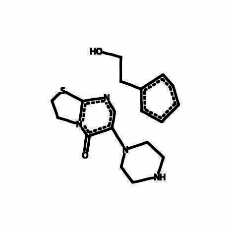 O=c1c(N2CCNCC2)cnc2n1CCS2.OCCc1ccccc1